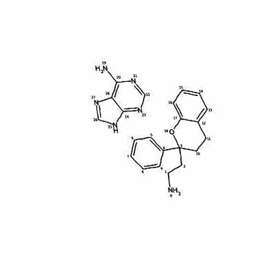 NCCC1(c2ccccc2)CCc2ccccc2O1.Nc1ncnc2[nH]cnc12